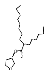 CCCCCCCCC(CCCCCC)C(=O)O[C@@H]1CCOC1